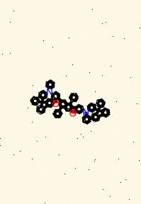 c1ccc(-c2c3cc4oc5cc(N(c6ccccc6)c6cccc(C7(c8ccccc8)c8ccccc8-c8ccccc87)c6)ccc5c4c(-c4ccccc4)c3cc3c2oc2cc(N(c4ccccc4)c4cccc(C5(c6ccccc6)c6ccccc6-c6ccccc65)c4)ccc23)cc1